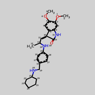 COc1cc2c(cc1OC)C(=CC(C)Nc1ccc(CNC3CCCCC3)cc1)C(=O)N2